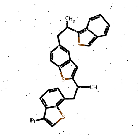 CC(C)c1csc2c(CC(C)c3cc4cc(CC(C)c5scc6ccccc56)ccc4s3)cccc12